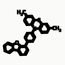 Cc1ccc2c(c1)Sc1cc(C)ccc1N2c1ccc(-c2cccc3c2oc2ccccc23)cc1